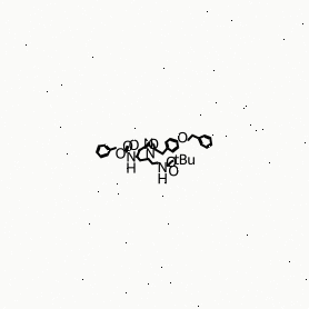 CC(C)(C)OC(=O)NCCCCC(NC(=O)OCc1ccccc1)C(=O)c1noc(Cc2ccc(OCCc3ccccc3)cc2)n1